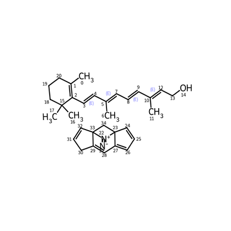 CC1=C(/C=C/C(C)=C/C=C/C(C)=C/CO)C(C)(C)CCC1.[N-]=[N+]1C23C=CC=C2C=C2CC=CC21C3